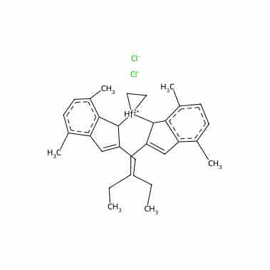 CCCCC1=Cc2c(C)ccc(C)c2[CH]1[Hf+2]1([CH]2C(CCCC)=Cc3c(C)ccc(C)c32)[CH2][CH2]1.[Cl-].[Cl-]